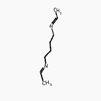 C/C=N/CCCC/N=C/C